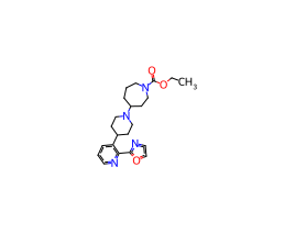 CCOC(=O)N1CCCC(N2CCC(c3cccnc3-c3ncco3)CC2)CC1